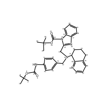 CC(C)(C)OC(=O)Nc1ccc(CN(Cc2nc3ccccc3n2C(=O)OC(C)(C)C)C2CCCc3cccnc32)cc1